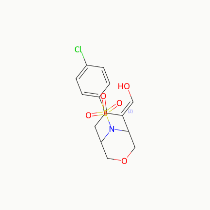 O=C1CC2COCC(/C1=C/O)N2S(=O)(=O)c1ccc(Cl)cc1